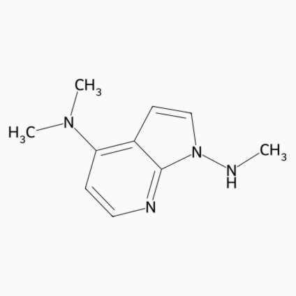 CNn1ccc2c(N(C)C)ccnc21